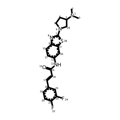 CN(C)C1CCN(c2nc3ccc(NC(=O)C=Cc4ccc(F)c(F)c4)cc3s2)C1